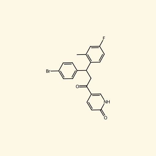 Cc1cc(F)ccc1C(CC(=O)c1ccc(=O)[nH]c1)c1ccc(Br)cc1